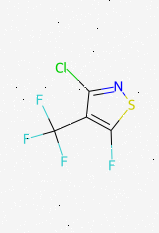 Fc1snc(Cl)c1C(F)(F)F